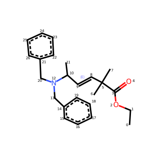 CCOC(=O)C(C)(C)/C=C/C(C)N(Cc1ccccc1)Cc1ccccc1